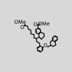 COC(=O)CCCCCCC(CCc1ccccc1OCC1CCc2ccccc2C1)C1CCCc2cc(C(=O)OC)ccc21